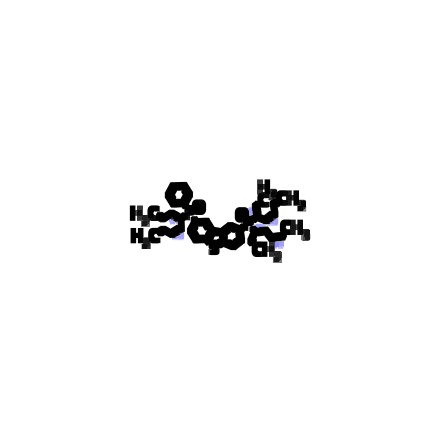 C=C/C=C\C(=C/C)P(=O)(/C(C=C)=C/C=C\C)c1ccc2sc3ccc(P(=O)(C(/C=C\C=C)=C/C=C)c4ccccc4)cc3c2c1